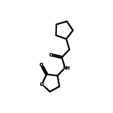 O=C(CC1CCCC1)NC1CCOC1=O